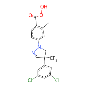 Cc1cc(N2CC(c3cc(Cl)cc(Cl)c3)(C(F)(F)F)C=N2)ccc1C(=O)OO